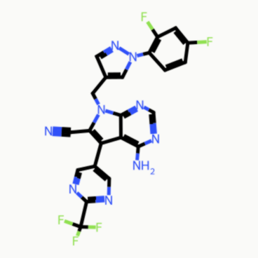 N#Cc1c(-c2cnc(C(F)(F)F)nc2)c2c(N)ncnc2n1Cc1cnn(-c2ccc(F)cc2F)c1